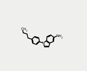 CCCCc1ccc(-n2ccc3cc(N)ccc32)cc1